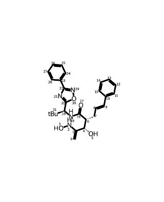 C=C(NO)[C@@H](O)[C@@H](C/C=C/c1ccccc1)C(=O)N[C@H](c1nc(-c2ccccc2)no1)C(C)(C)C